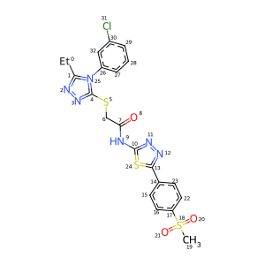 CCc1nnc(SCC(=O)Nc2nnc(-c3ccc(S(C)(=O)=O)cc3)s2)n1-c1cccc(Cl)c1